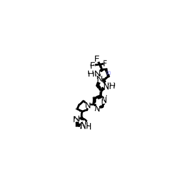 N=C(/C=C\c1ncc(-c2cc(N3CCCC(c4c[nH]cn4)C3)ncn2)[nH]1)C(F)(F)F